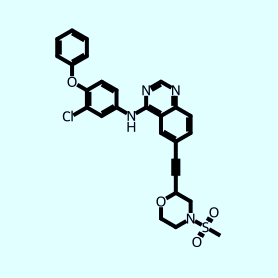 CS(=O)(=O)N1CCOC(C#Cc2ccc3ncnc(Nc4ccc(Oc5ccccc5)c(Cl)c4)c3c2)C1